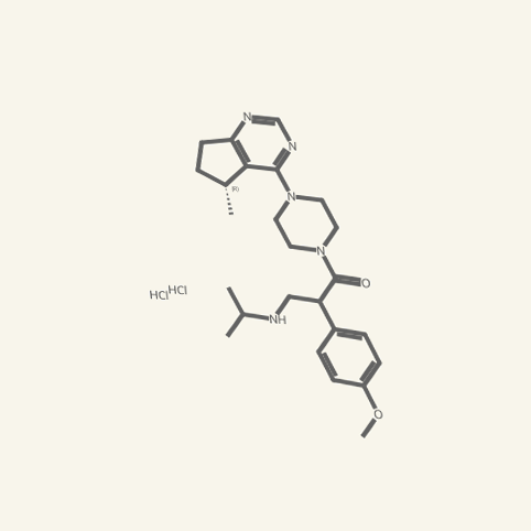 COc1ccc(C(CNC(C)C)C(=O)N2CCN(c3ncnc4c3[C@H](C)CC4)CC2)cc1.Cl.Cl